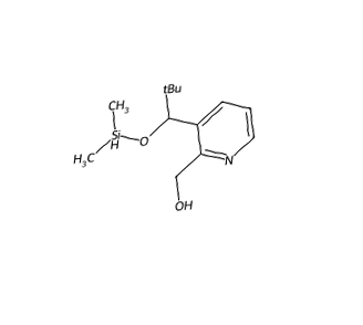 C[SiH](C)OC(c1cccnc1CO)C(C)(C)C